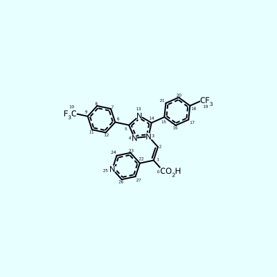 O=C(O)C(=Cn1nc(-c2ccc(C(F)(F)F)cc2)nc1-c1ccc(C(F)(F)F)cc1)c1ccncc1